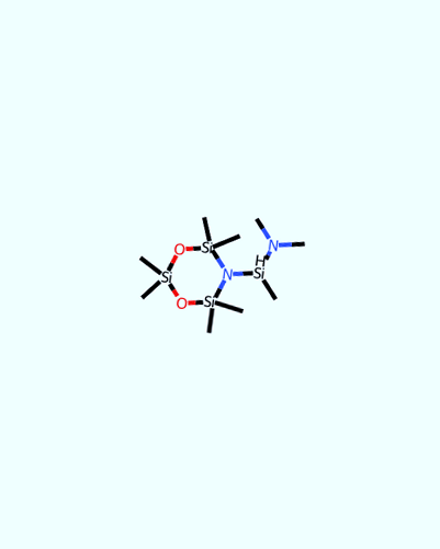 CN(C)[SiH](C)N1[Si](C)(C)O[Si](C)(C)O[Si]1(C)C